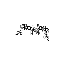 CCOC(=O)COc1ncccc1Oc1cc(NC(=O)C=C(Nc2cc(Oc3cccnc3OCC(=O)OCC)c(Cl)cc2F)C(F)(F)F)c(F)cc1Cl